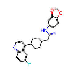 Fc1ccc2nccc(C3CCC(Cc4nc5cc6c(cc5[nH]4)OCO6)CC3)c2c1